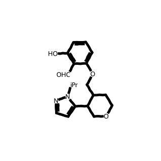 CC(C)n1nccc1C1COCCC1COc1cccc(O)c1C=O